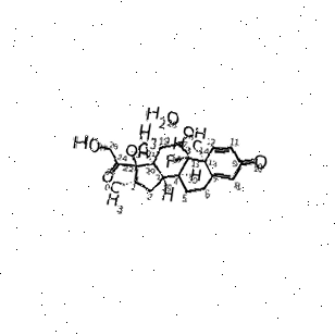 C[C@H]1C[C@H]2[C@@H]3CCC4=CC(=O)C=C[C@]4(C)[C@@]3(F)[C@@H](O)C[C@]2(C)[C@@]1(O)C(=O)CO.O